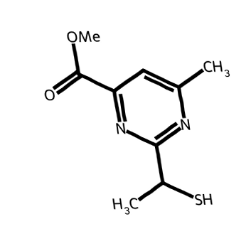 COC(=O)c1cc(C)nc(C(C)S)n1